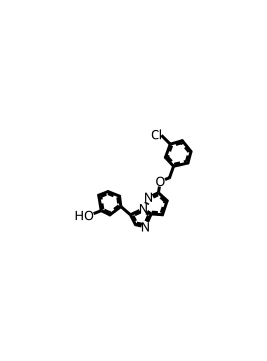 Oc1cccc(-c2cnc3ccc(OCc4cccc(Cl)c4)nn23)c1